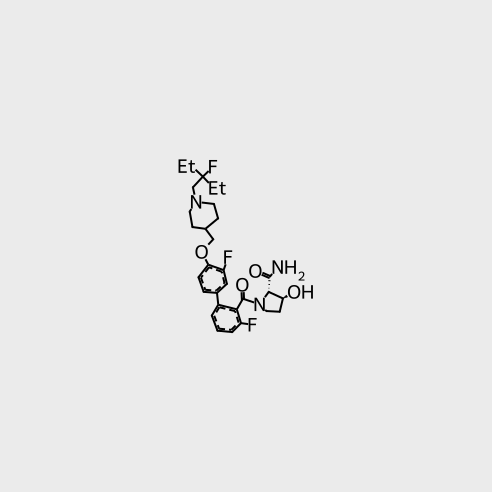 CCC(F)(CC)CN1CCC(COc2ccc(-c3cccc(F)c3C(=O)N3CC[C@H](O)[C@H]3C(N)=O)cc2F)CC1